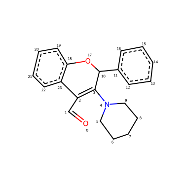 O=CC1=C(N2CCCCC2)C(c2ccccc2)Oc2ccccc21